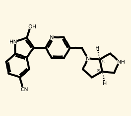 N#Cc1ccc2[nH]c(O)c(-c3ccc(CN4CC[C@@H]5CNC[C@@H]54)cn3)c2c1